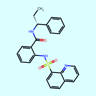 CC[C@@H](NC(=O)c1ccccc1NS(=O)(=O)c1cccc2cccnc12)c1ccccc1